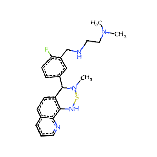 CN(C)CCNCc1cc(C2c3ccc4cccnc4c3NSN2C)ccc1F